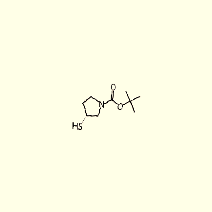 CC(C)(C)OC(=O)N1CC[C@@H](S)C1